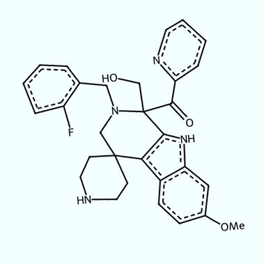 COc1ccc2c3c([nH]c2c1)C(CO)(C(=O)c1ccccn1)N(Cc1ccccc1F)CC31CCNCC1